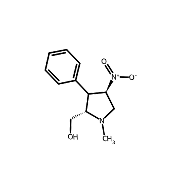 CN1C[C@H]([N+](=O)[O-])C(c2ccccc2)[C@H]1CO